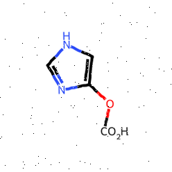 O=C(O)Oc1c[nH]cn1